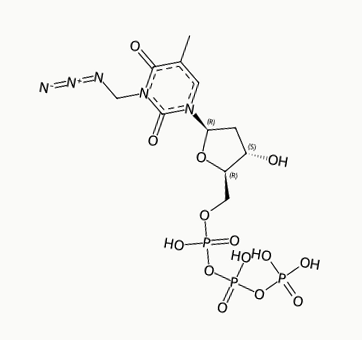 Cc1cn([C@H]2C[C@H](O)[C@@H](COP(=O)(O)OP(=O)(O)OP(=O)(O)O)O2)c(=O)n(CN=[N+]=[N-])c1=O